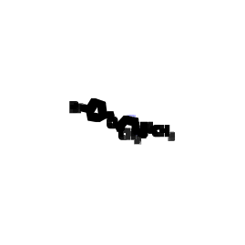 C=C(/C=C\C=C/NC)OCc1ccc(Br)cc1